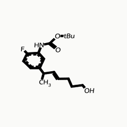 CC(/C=C/CCCO)c1ccc(F)c(NC(=O)OC(C)(C)C)c1